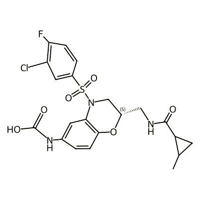 CC1CC1C(=O)NC[C@H]1CN(S(=O)(=O)c2ccc(F)c(Cl)c2)c2cc(NC(=O)O)ccc2O1